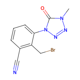 Cn1nnn(-c2cccc(C#N)c2CBr)c1=O